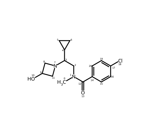 CN(CC(C1CC1)N1CC(O)C1)C(=O)c1ccc(Cl)cc1